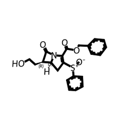 O=C(OCc1ccccc1)C1=C([S+]([O-])c2ccccc2)C[C@H]2[C@@H](CCO)C(=O)N12